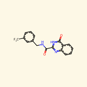 O=C(NCc1cccc(C(F)(F)F)c1)c1nc2ccccc2c(=O)[nH]1